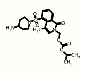 Cc1cn(COC(=O)OC(C)C)c(=O)c2cccc(S(=O)(=O)N3CCC(N)CC3)c12